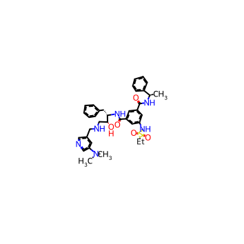 CCS(=O)(=O)Nc1cc(C(=O)N[C@@H](Cc2ccccc2)[C@H](O)CNCc2cncc(N(C)C)c2)cc(C(=O)N[C@H](C)c2ccccc2)c1